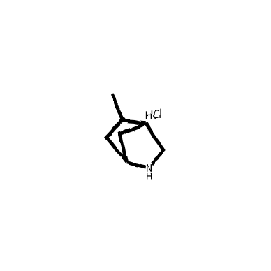 CC1CC2CC1CN2.Cl